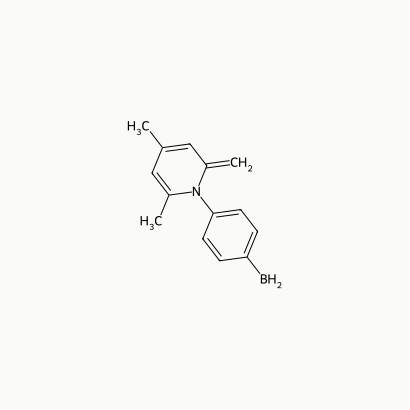 Bc1ccc(N2C(=C)C=C(C)C=C2C)cc1